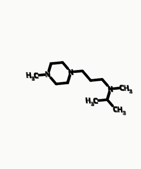 CC(C)N(C)CCCN1CCN(C)CC1